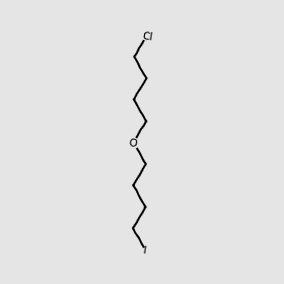 ClCCCCOCCCCI